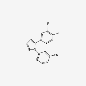 N#Cc1ccnc(-n2nccc2-c2ccc(F)c(F)c2)c1